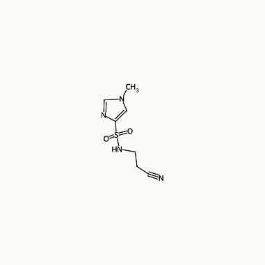 Cn1cnc(S(=O)(=O)NCCC#N)c1